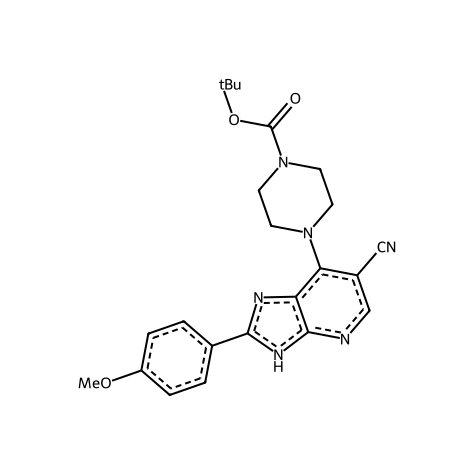 COc1ccc(-c2nc3c(N4CCN(C(=O)OC(C)(C)C)CC4)c(C#N)cnc3[nH]2)cc1